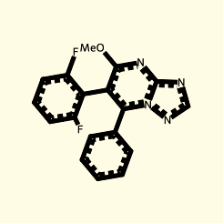 COc1nc2ncnn2c(-c2ccccc2)c1-c1c(F)cccc1F